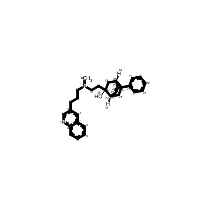 CN(CCCc1cnc2ccccc2c1)CC[C@@]1(O)C[C@@H]2CC[C@H]1C=C2c1ccccc1